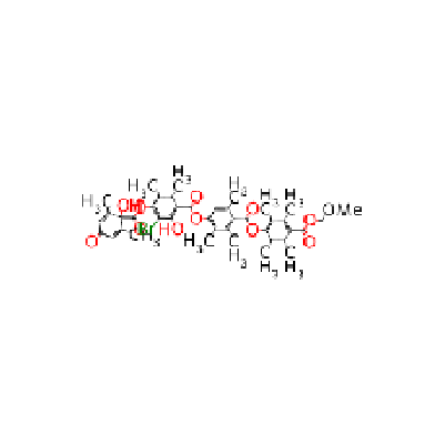 COCOC(=O)c1c(C)c(C)c(OC(=O)c2c(C)cc(OC(=O)c3c(C)c(C)c(OC(=O)C4(O)C(C)=CC(=O)C=C4C)c(Br)c3O)c(C)c2C)c(C)c1C